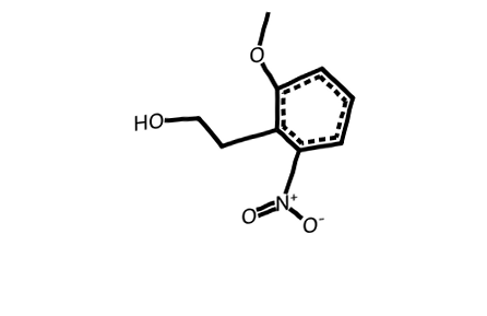 COc1cccc([N+](=O)[O-])c1CCO